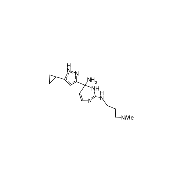 CNCCCNC1=NC=CC(N)(c2cc(C3CC3)[nH]n2)N1